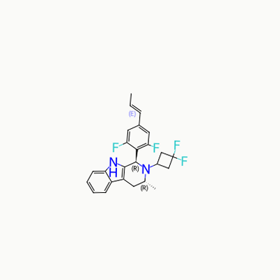 C/C=C/c1cc(F)c([C@@H]2c3[nH]c4ccccc4c3C[C@@H](C)N2C2CC(F)(F)C2)c(F)c1